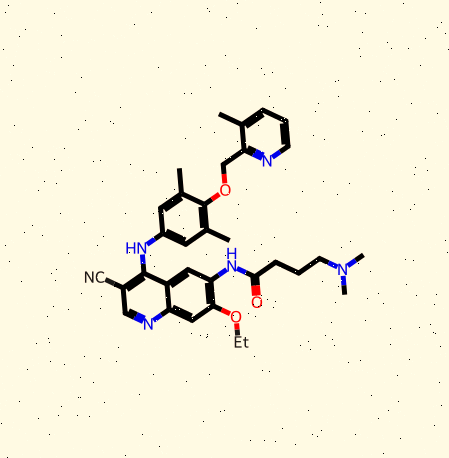 CCOc1cc2ncc(C#N)c(Nc3cc(C)c(OCc4ncccc4C)c(C)c3)c2cc1NC(=O)CCCN(C)C